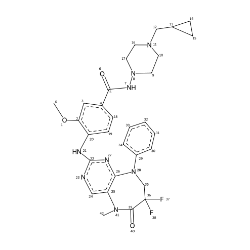 COc1cc(C(=O)NN2CCN(CC3CC3)CC2)ccc1Nc1ncc2c(n1)N(c1ccccc1)CC(F)(F)C(=O)N2C